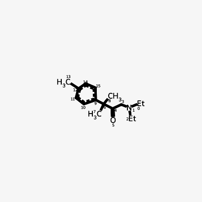 CCN(CC)CC(=O)C(C)(C)c1ccc(C)cc1